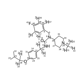 [2H]c1c([2H])c(CN(C(=O)NC([2H])([2H])c2ccc(OC([2H])([2H])C(C)C)cc2)C2CCN(C([2H])([2H])[2H])CC2)c([2H])c([2H])c1F